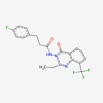 CCc1nc2c(C(F)(F)F)cccc2c(=O)n1NC(=O)CCc1ccc(F)cc1